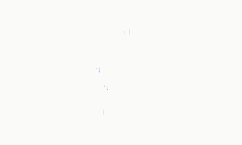 CS(C)(C)C#Cc1c(-c2ccc(Cl)cc2)nc2ccc(Cl)cn12